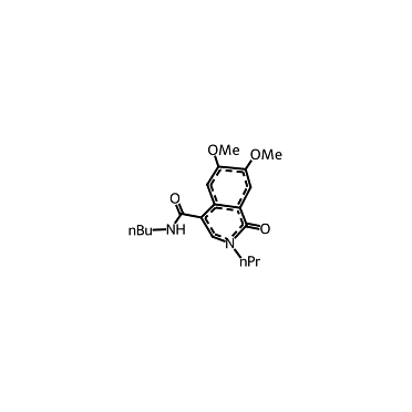 CCCCNC(=O)c1cn(CCC)c(=O)c2cc(OC)c(OC)cc12